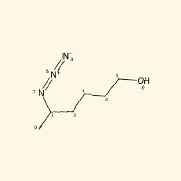 CC(CCCCO)N=[N+]=[N-]